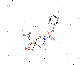 O=C(OCc1ccccc1)N1CCC(CO)(OC2CC2)CC1